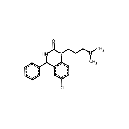 CN(C)CCCN1C(=O)NC(c2ccccc2)c2cc(Cl)ccc21